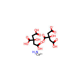 N.O=C(O)CC(O)(CC(=O)O)C(=O)O.O=C([O-])CC(O)(CC(=O)O)C(=O)[O-].[Ca+2]